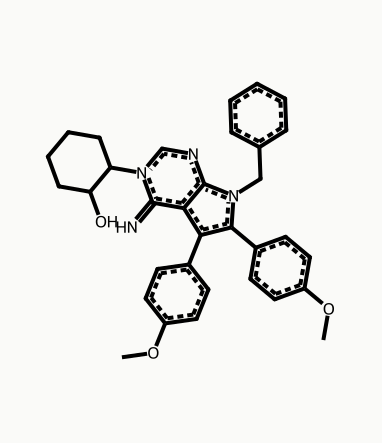 COc1ccc(-c2c(-c3ccc(OC)cc3)n(Cc3ccccc3)c3ncn(C4CCCCC4O)c(=N)c23)cc1